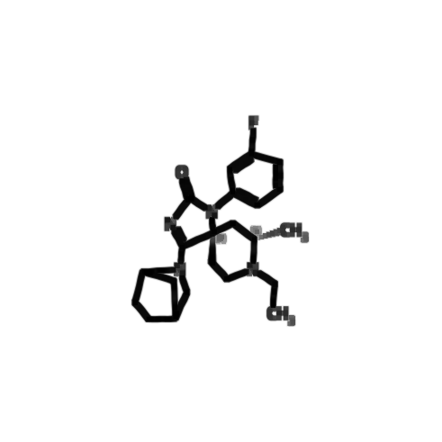 CCN1CC[C@@]2(C[C@@H]1C)C(N1CC3CCC1C3)=NC(=O)N2c1cccc(F)c1